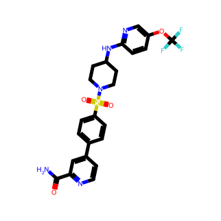 NC(=O)c1cc(-c2ccc(S(=O)(=O)N3CCC(Nc4ccc(OC(F)(F)F)cn4)CC3)cc2)ccn1